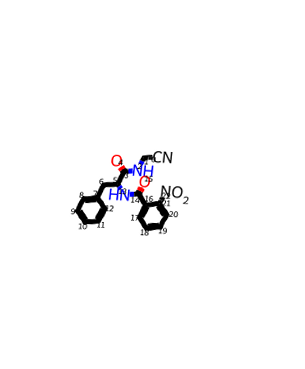 N#CCNC(=O)C(Cc1ccccc1)NC(=O)c1ccccc1[N+](=O)[O-]